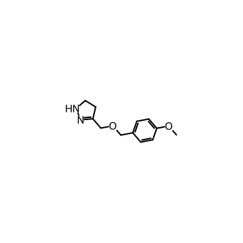 COc1ccc(COCC2=NNCC2)cc1